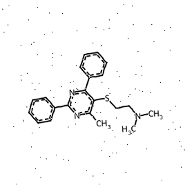 Cc1nc(-c2ccccc2)nc(-c2ccccc2)c1SCCN(C)C